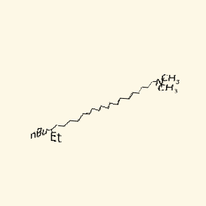 CCCCC(CC)CCCCCCCCCCCCCCCCCCCN(C)C